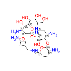 NC1CC(CNC[C@@H]2CC[C@@H](N)[C@@H](OC3[C@@H](N)C[C@@H](NC(CO)CO)[C@H](O[C@H]4O[C@H](CO)[C@@H](O)[C@H](N)[C@H]4O)[C@H]3O)O2)C1